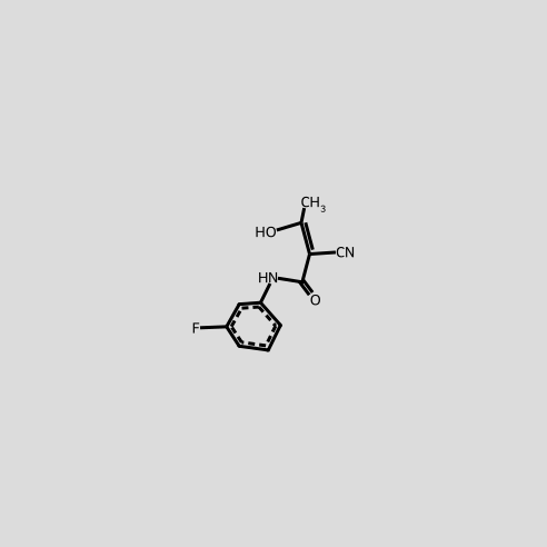 CC(O)=C(C#N)C(=O)Nc1cccc(F)c1